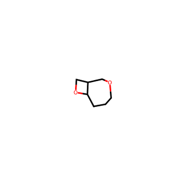 C1COCC2COC2C1